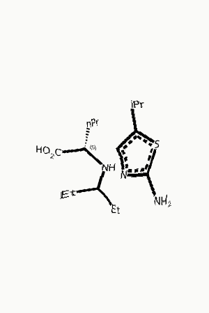 CC(C)c1cnc(N)s1.CCC[C@H](NC(CC)CC)C(=O)O